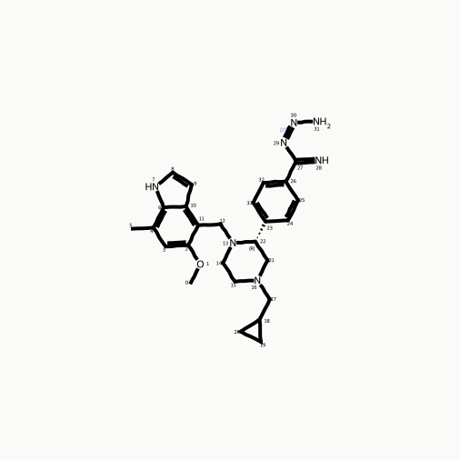 COc1cc(C)c2[nH]ccc2c1CN1CCN(CC2CC2)C[C@H]1c1ccc(C(=N)/N=N\N)cc1